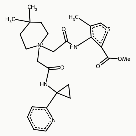 COC(=O)c1scc(C)c1NC(=O)C[N+]1(CC(=O)NC2(c3ccccn3)CC2)CCC(C)(C)CC1